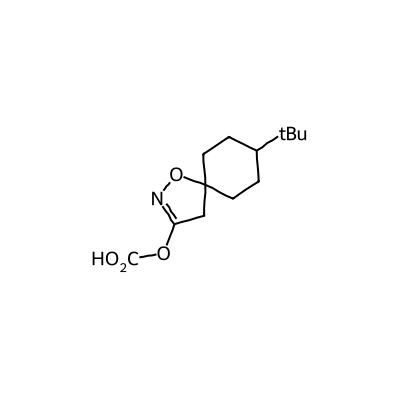 CC(C)(C)C1CCC2(CC1)CC(OC(=O)O)=NO2